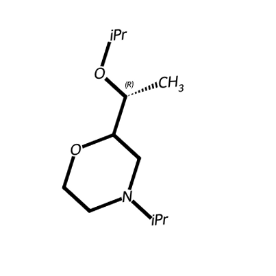 CC(C)O[C@H](C)C1CN(C(C)C)CCO1